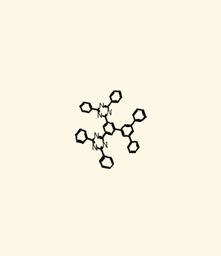 c1ccc(-c2cc(-c3ccccc3)cc(-c3cc(-c4nc(-c5ccccc5)nc(-c5ccccc5)n4)cc(-c4nc(-c5ccccc5)nc(-c5ccccc5)n4)c3)c2)cc1